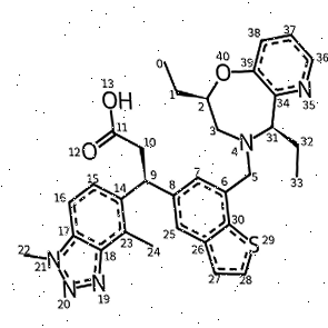 CC[C@@H]1CN(Cc2cc([C@H](CC(=O)O)c3ccc4c(nnn4C)c3C)cc3ccsc23)[C@H](CC)c2ncccc2O1